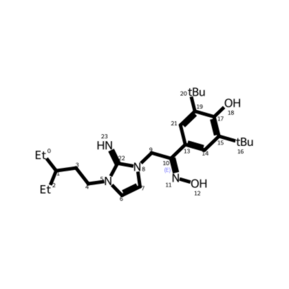 CCC(CC)CCn1ccn(C/C(=N/O)c2cc(C(C)(C)C)c(O)c(C(C)(C)C)c2)c1=N